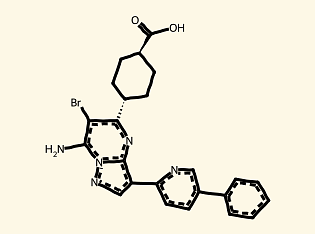 Nc1c(Br)c([C@H]2CC[C@H](C(=O)O)CC2)nc2c(-c3ccc(-c4ccccc4)cn3)cnn12